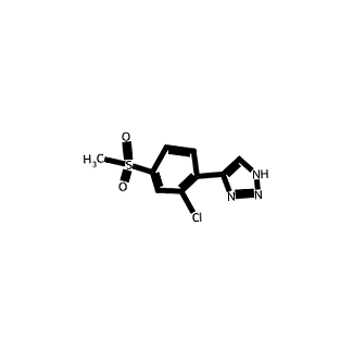 CS(=O)(=O)c1ccc(-c2c[nH]nn2)c(Cl)c1